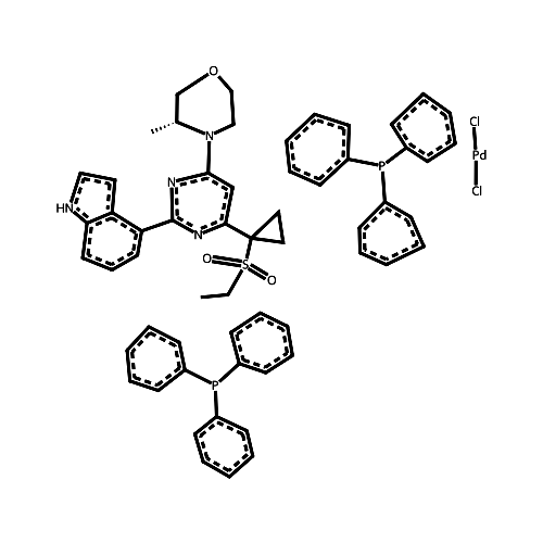 CCS(=O)(=O)C1(c2cc(N3CCOC[C@H]3C)nc(-c3cccc4[nH]ccc34)n2)CC1.[Cl][Pd][Cl].c1ccc(P(c2ccccc2)c2ccccc2)cc1.c1ccc(P(c2ccccc2)c2ccccc2)cc1